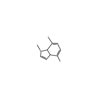 CC1=CC=C(I)C2C1C=CN2C